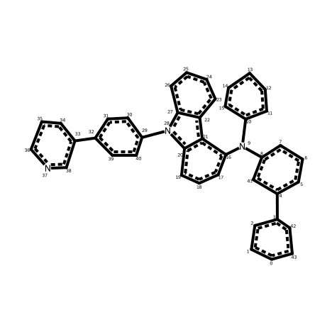 c1ccc(-c2cccc(N(c3ccccc3)c3cccc4c3c3ccccc3n4-c3ccc(-c4cccnc4)cc3)c2)cc1